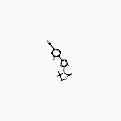 CC1(C)COC(=O)N1c1nc(-c2ccc(C#N)cc2F)cs1